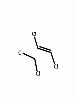 ClC=CCl.ClCCl